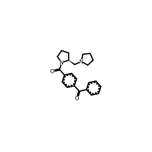 O=C(c1ccccc1)c1ccc(C(=O)N2CCC[C@H]2CN2CCCC2)cc1